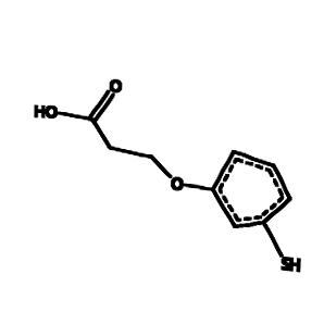 O=C(O)CCOc1cccc(S)c1